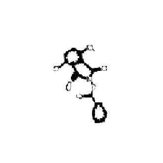 O=C(ON1C(=O)c2c(Cl)ccc(Cl)c2C1=O)c1ccccc1